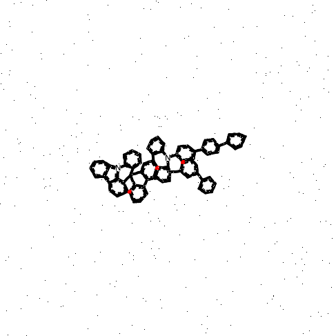 c1ccc(-c2ccc(-c3ccc(N(c4ccccc4-c4cccc(-c5ccccc5)c4)c4ccccc4-c4ccc5c(c4)C4(c6ccccc6-5)c5ccccc5-n5c6ccccc6c6cccc4c65)cc3)cc2)cc1